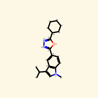 CC(C)c1cn(C)c2ccc(-c3nnc(C4CCCCC4)o3)cc12